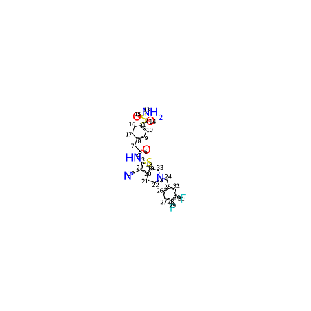 N#Cc1c(NC(=O)CC2=CC=C(S(N)(=O)=O)CC2)sc2c1CCN(Cc1ccc(F)c(F)c1)C2